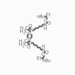 CCCCC(CC)COC(=O)NCCCCCCN1C(=O)C(C)(C)C1N1CCN(C2N(CCCCCCNC(=O)OCC(CC)CCCC)C(=O)C2(C)C)CC1